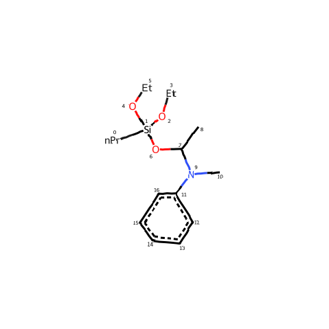 CCC[Si](OCC)(OCC)OC(C)N(C)c1ccccc1